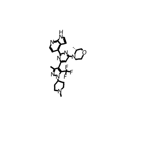 Cc1nn(C2CCN(C)CC2)c(C(F)(F)F)c1-c1cc(N2CCOC[C@H]2C)nc(-c2ccnc3[nH]ccc23)n1